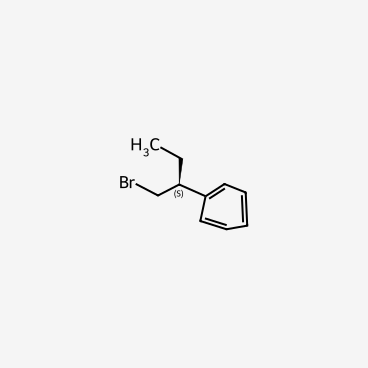 CC[C@H](CBr)c1ccccc1